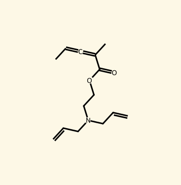 C=CCN(CC=C)CCOC(=O)C(C)=C=CC